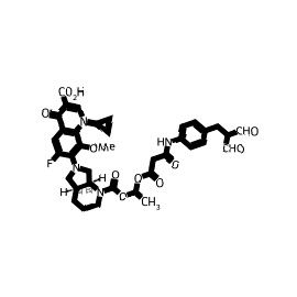 COc1c(N2C[C@@H]3CCCN(C(=O)OC(C)OC(=O)CC(=O)Nc4ccc(CC(C=O)C=O)cc4)[C@@H]3C2)c(F)cc2c(=O)c(C(=O)O)cn(C3CC3)c12